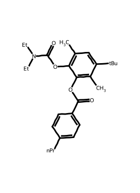 CCCc1ccc(C(=O)Oc2c(C)c(C(C)(C)C)cc(C)c2OC(=O)N(CC)CC)cc1